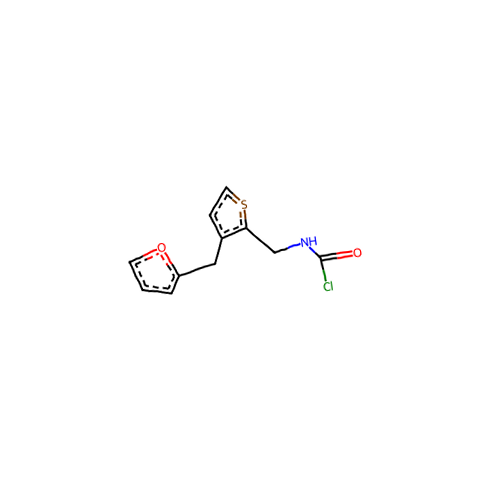 O=C(Cl)NCc1sccc1Cc1ccco1